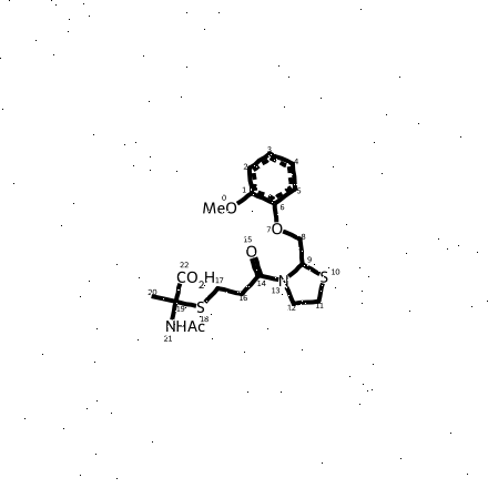 COc1ccccc1OCC1SCCN1C(=O)CCSC(C)(NC(C)=O)C(=O)O